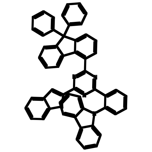 c1ccc(C2(c3ccccc3)c3ccccc3-c3c(-c4nc(-c5cc6ccccc6s5)nc(-c5ccccc5-n5c6ccccc6c6ccccc65)n4)cccc32)cc1